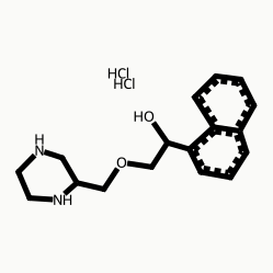 Cl.Cl.OC(COCC1CNCCN1)c1cccc2ccccc12